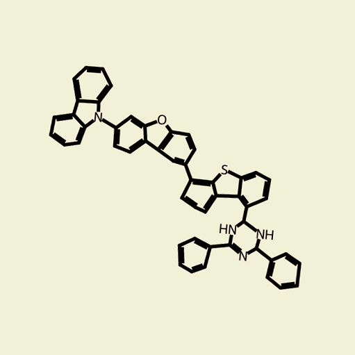 c1ccc(C2=NC(c3ccccc3)NC(c3cccc4sc5c(-c6ccc7oc8cc(-n9c%10ccccc%10c%10ccccc%109)ccc8c7c6)cccc5c34)N2)cc1